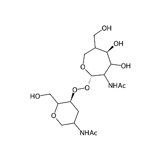 CC(=O)NC1COC(CO)[C@@H](OO[C@@H]2OCC(CO)[C@@H](O)C(O)C2NC(C)=O)C1